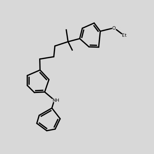 CCOc1ccc(C(C)(C)CCCc2cccc(Nc3ccccc3)c2)cc1